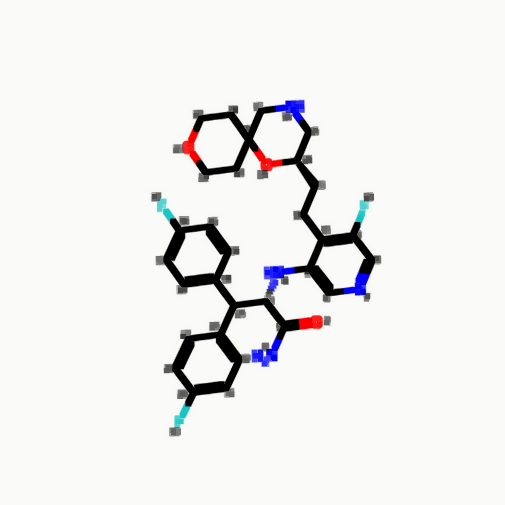 NC(=O)[C@@H](Nc1cncc(F)c1CC[C@@H]1CNCC2(CCOCC2)O1)C(c1ccc(F)cc1)c1ccc(F)cc1